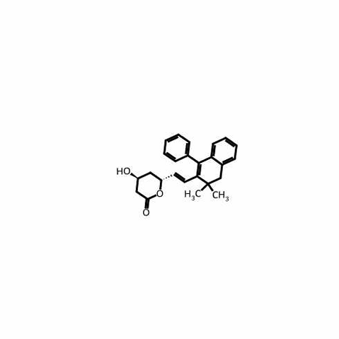 CC1(C)Cc2ccccc2C(c2ccccc2)=C1C=C[C@H]1C[C@H](O)CC(=O)O1